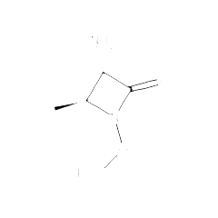 [CH2][C@H]1[C@H](N)C(=O)N1OS(=O)(=O)O